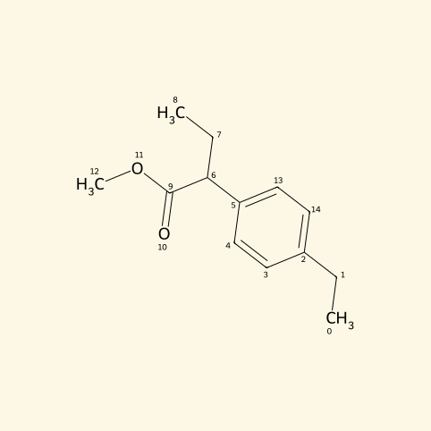 CCc1ccc(C(CC)C(=O)OC)cc1